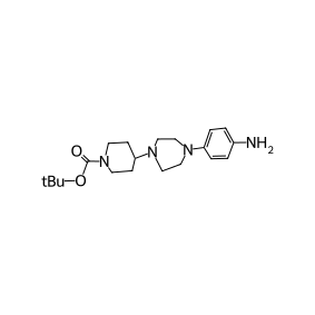 CC(C)(C)OC(=O)N1CCC(N2CCN(c3ccc(N)cc3)CC2)CC1